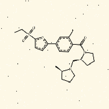 CCS(=O)(=O)c1ccc(-c2ccc(C(=O)N3CCC[C@H]3CN3CCC[C@H]3C)c(F)c2)s1